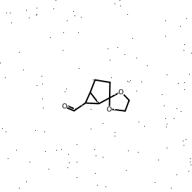 O=CC1C2CCC3(OCCO3)C12